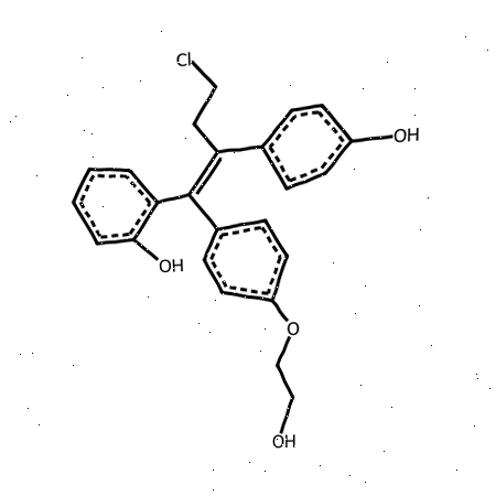 OCCOc1ccc(C(=C(CCCl)c2ccc(O)cc2)c2ccccc2O)cc1